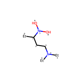 CCC(CCN(CC)CC)N(O)O